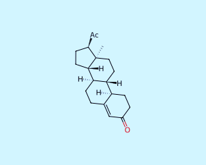 CC(=O)[C@@H]1CC[C@H]2[C@@H]3CCC4=CC(=O)CC[C@@H]4[C@H]3CC[C@]12C